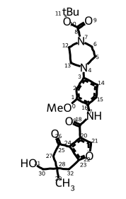 COc1cc(N2CCN(C(=O)OC(C)(C)C)CC2)ccc1NC(=O)c1coc2c1C(=O)CC(C)(CO)C2